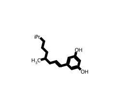 CC(C)CCCC(C)C/C=C/c1cc(O)cc(O)c1